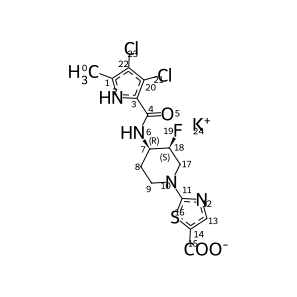 Cc1[nH]c(C(=O)N[C@@H]2CCN(c3ncc(C(=O)[O-])s3)C[C@@H]2F)c(Cl)c1Cl.[K+]